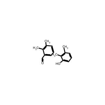 Cc1cccc(C=O)c1C.Cc1cccc(O)c1C